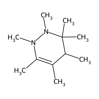 CC1=C(C)N(C)N(C)C(C)(C)C1C